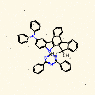 CC1(C)c2ccccc2-c2c1c1c(c3ccccc23)c2cc(N(c3ccccc3)c3ccccc3)ccc2n1-c1nc(-c2ccccc2)nc(-c2ccccc2)n1